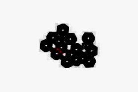 c1ccc(-c2ccc(-c3ccccc3N(c3ccc4c(c3)C(c3ccccc3)(c3ccccc3)c3ccccc3-4)c3ccc4c(c3)C3(c5ccccc5-c5ccccc53)c3cccc5c6ccccc6n-4c35)cc2)cc1